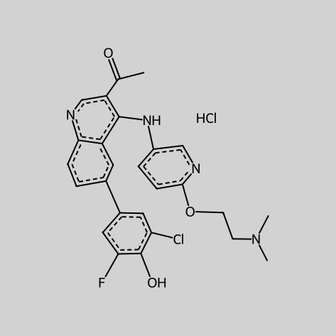 CC(=O)c1cnc2ccc(-c3cc(F)c(O)c(Cl)c3)cc2c1Nc1ccc(OCCN(C)C)nc1.Cl